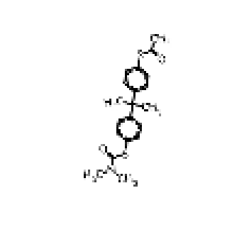 CC(=O)Sc1ccc(C(C)(C)c2ccc(SC(=O)N(C)C)cc2)cc1